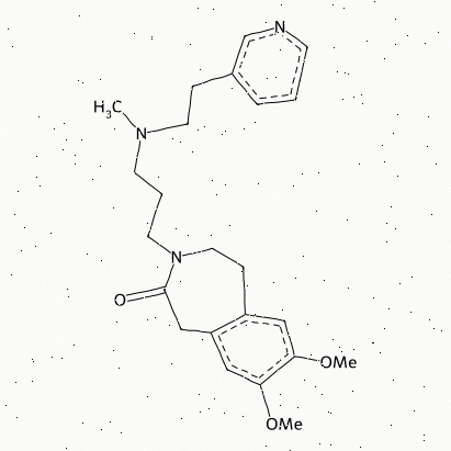 COc1cc2c(cc1OC)CC(=O)N(CCCN(C)CCc1cccnc1)CC2